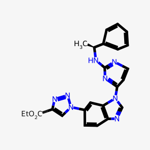 CCOC(=O)c1cn(-c2ccc3ncn(-c4ccnc(N[C@@H](C)c5ccccc5)n4)c3c2)nn1